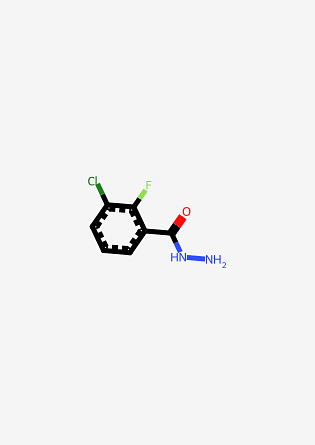 NNC(=O)c1cccc(Cl)c1F